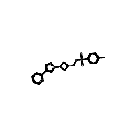 Cc1ccc(S(=O)(=O)OC[C@H]2C[C@H](n3cc(-c4ccccn4)cn3)C2)cc1